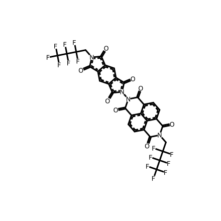 O=C1c2ccc3c4c(ccc(c24)C(=O)N1CC(F)(F)C(F)(F)C(F)(F)F)C(=O)N(n1c(=O)c2cc4c(=O)n(CC(F)(F)C(F)(F)C(F)(F)F)c(=O)c4cc2c1=O)C3=O